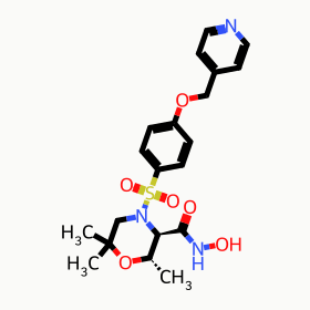 C[C@@H]1OC(C)(C)CN(S(=O)(=O)c2ccc(OCc3ccncc3)cc2)[C@H]1C(=O)NO